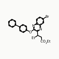 CCOC(=O)CC(CC)c1nc2cc(Br)ccc2nc1Oc1ccc(-c2ccccc2)cc1